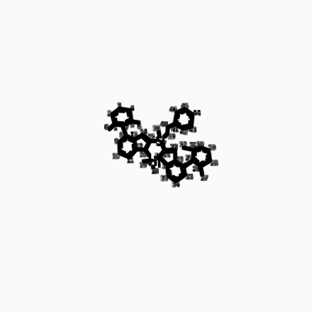 Cc1cccc(C)c1-c1cccc2c1C=C1[CH]2[Hf]([CH3])([CH3])[CH]2C(=Cc3c(-c4c(C)cccc4C)cccc32)[Si]1(C)CCc1ccccc1